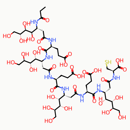 CCC(=O)N[C@H](CC(=O)N[C@@H](CCC(=O)O)C(=O)N[C@H](CC(=O)N[C@@H](CCC(=O)O)C(=O)N[C@H](CC(=O)N[C@@H](CCC(=O)O)C(=O)N[C@H](CC(=O)N[C@@H](CS)C(=O)O)[C@@H](O)[C@H](O)[C@H](O)CO)[C@@H](O)[C@H](O)[C@H](O)CO)[C@@H](O)[C@H](O)[C@H](O)CO)[C@@H](O)[C@H](O)[C@H](O)CO